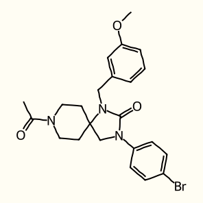 COc1cccc(CN2C(=O)N(c3ccc(Br)cc3)CC23CCN(C(C)=O)CC3)c1